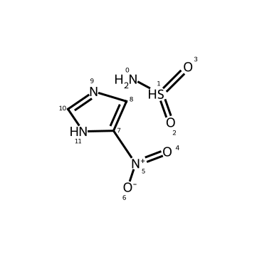 N[SH](=O)=O.O=[N+]([O-])c1cnc[nH]1